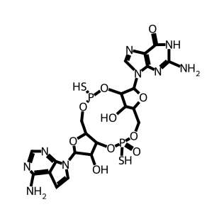 Nc1nc2c(ncn2C2OC3COP(=O)(S)OC4C(COP(S)OC2C3O)OC(n2ccc3c(N)ncnc32)C4O)c(=O)[nH]1